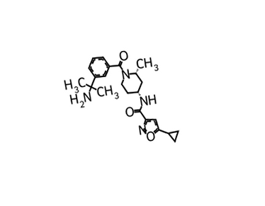 C[C@@H]1C[C@H](NC(=O)c2cc(C3CC3)on2)CCN1C(=O)c1cccc(C(C)(C)N)c1